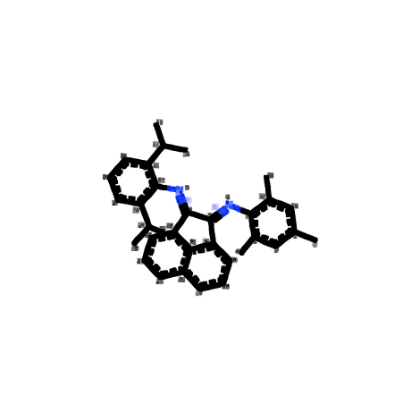 Cc1cc(C)c(/N=C2/C(=N/c3c(C(C)C)cccc3C(C)C)c3cccc4cccc2c34)c(C)c1